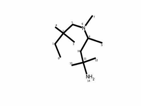 CCC(C)(C)CN(C)C(C)CC(C)(C)N